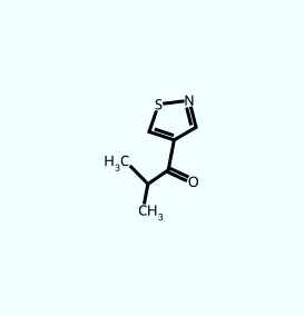 CC(C)C(=O)c1cnsc1